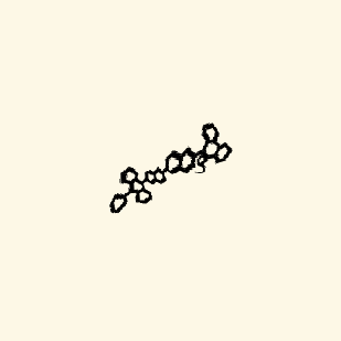 c1ccc(-c2c3ccccc3c(-c3ccc4cc(-c5ccc6cc7c(cc6c5)sc5c6ccccc6c6ccccc6c75)ccc4c3)c3ccccc23)cc1